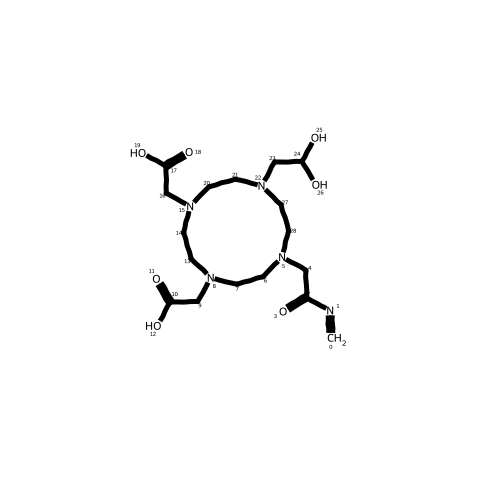 C=NC(=O)CN1CCN(CC(=O)O)CCN(CC(=O)O)CCN(CC(O)O)CC1